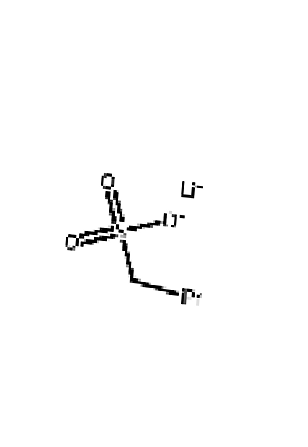 CC(C)CS(=O)(=O)[O-].[Li+]